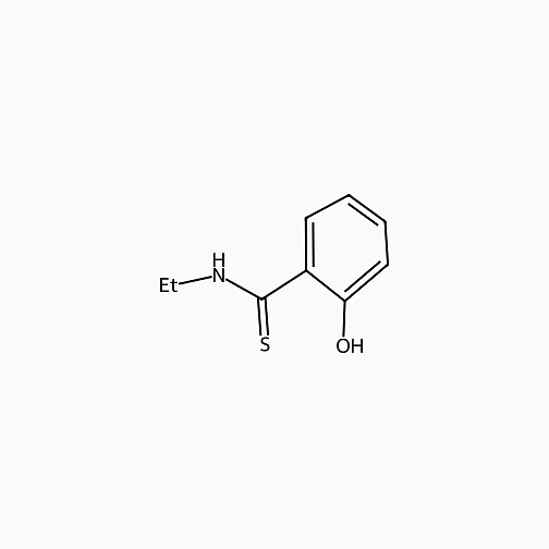 CCNC(=S)c1ccccc1O